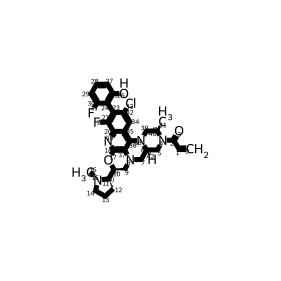 C=CC(=O)N1C[C@H]2CN3C[C@@H]([C@@H]4CCCN4C)Oc4nc5c(F)c(-c6c(O)cccc6F)c(Cl)cc5c(c43)N2C[C@H]1C